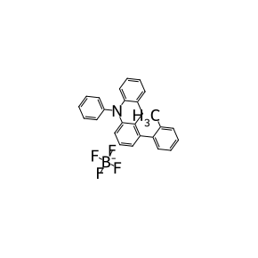 Cc1ccccc1-c1cccc2c1Cc1ccccc1N2c1ccccc1.F[B-](F)(F)F